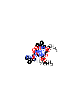 CC(C)(C)OC(=O)C[C@@H](N)C(=O)N[C@H](CC(=O)OC(C)(C)C)C(=O)NCC(=O)N[C@H](CC(=O)NC(c1ccccc1)(c1ccccc1)c1ccccc1)C(=O)N[C@H](CC(=O)NC(c1ccccc1)(c1ccccc1)c1ccccc1)C(=O)O